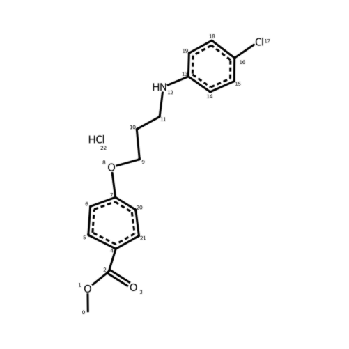 COC(=O)c1ccc(OCCCNc2ccc(Cl)cc2)cc1.Cl